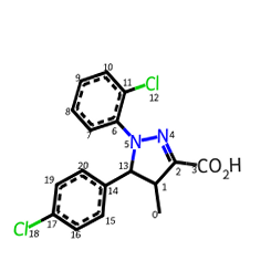 CC1C(C(=O)O)=NN(c2ccccc2Cl)C1c1ccc(Cl)cc1